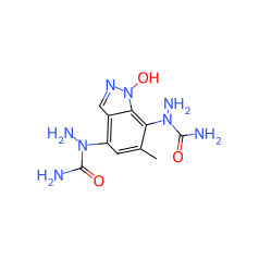 Cc1cc(N(N)C(N)=O)c2cnn(O)c2c1N(N)C(N)=O